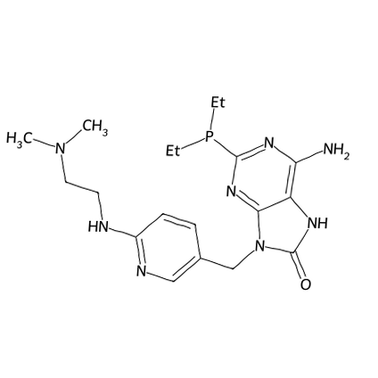 CCP(CC)c1nc(N)c2[nH]c(=O)n(Cc3ccc(NCCN(C)C)nc3)c2n1